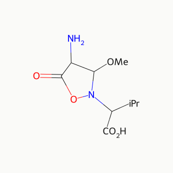 COC1C(N)C(=O)ON1C(C(=O)O)C(C)C